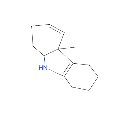 CC12C=CCCC1NC1=C2CCCC1